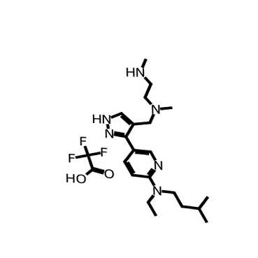 CCN(CCC(C)C)c1ccc(-c2n[nH]cc2CN(C)CCNC)cn1.O=C(O)C(F)(F)F